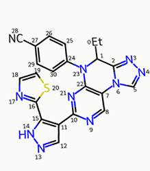 CCC1c2nncn2-c2cnc(-c3cn[nH]c3-c3nccs3)nc2N1c1ccc(C#N)cc1